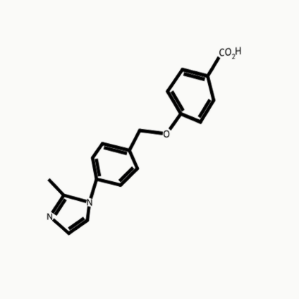 Cc1nccn1-c1ccc(COc2ccc(C(=O)O)cc2)cc1